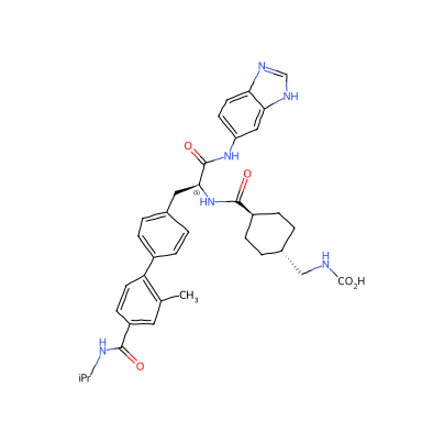 Cc1cc(C(=O)NC(C)C)ccc1-c1ccc(C[C@H](NC(=O)[C@H]2CC[C@H](CNC(=O)O)CC2)C(=O)Nc2ccc3nc[nH]c3c2)cc1